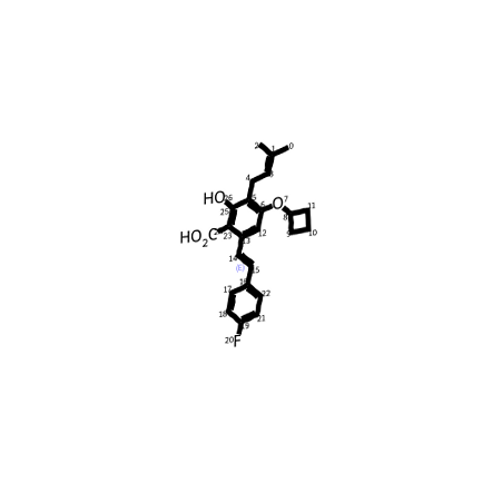 CC(C)=CCc1c(OC2CCC2)cc(/C=C/c2ccc(F)cc2)c(C(=O)O)c1O